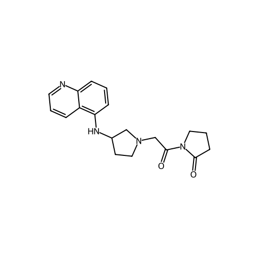 O=C1CCCN1C(=O)CN1CCC(Nc2cccc3ncccc23)C1